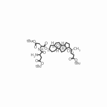 C[C@H](CCC(=O)OC(C)(C)C)C1CC[C@H]2[C@@H]3CC[C@@H]4C[C@@H](OC(=O)[C@H](CC(=O)OC(C)(C)C)NC(=O)C(N)CC(=O)OC(C)(C)C)CC[C@]4(C)[C@H]3CC[C@]12C